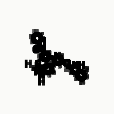 Cc1n[nH]c2ccc(-c3cc(OC[C@H](N)Cc4ccccc4)cnc3-c3cccc(NC(=O)C4CCCCC4)c3)cc12